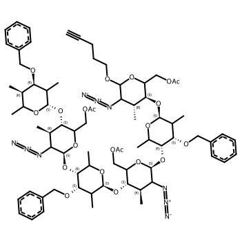 C#CCCCOC1OC(COC(C)=O)[C@@H](O[C@@H]2OC(C)[C@@H](O[C@@H]3OC(COC(C)=O)[C@@H](O[C@@H]4OC(C)[C@@H](O[C@@H]5OC(COC(C)=O)[C@@H](O[C@@H]6OC(C)[C@@H](C)[C@@H](OCc7ccccc7)C6C)[C@H](C)C5N=[N+]=[N-])[C@@H](OCc5ccccc5)C4C)[C@H](C)C3N=[N+]=[N-])[C@@H](OCc3ccccc3)C2C)[C@H](C)C1N=[N+]=[N-]